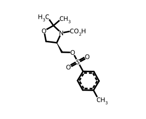 Cc1ccc(S(=O)(=O)OC[C@H]2COC(C)(C)N2C(=O)O)cc1